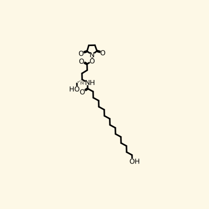 O=C(CCCCCCCCCCCCCCCO)N[C@H](CO)CCC(=O)ON1C(=O)CCC1=O